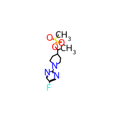 CC(OS(C)(=O)=O)C1CCN(c2ncc(F)cn2)CC1